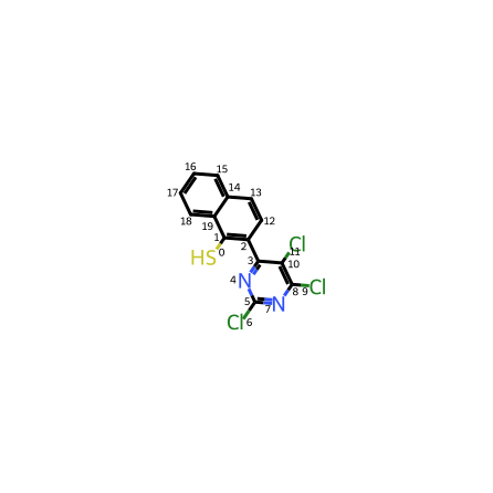 Sc1c(-c2nc(Cl)nc(Cl)c2Cl)ccc2ccccc12